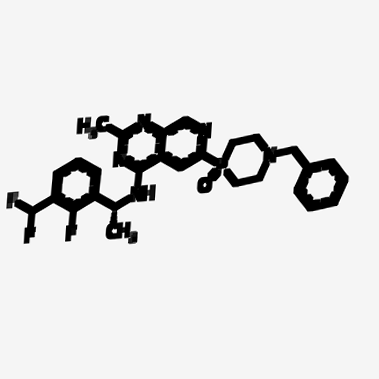 Cc1nc(N[C@H](C)c2cccc(C(F)F)c2F)c2cc(P3(=O)CCN(Cc4ccccc4)CC3)ncc2n1